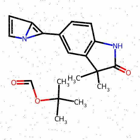 CC(C)(C)OC=O.CC1(C)C(=O)Nc2ccc(-c3c4ccn3-4)cc21